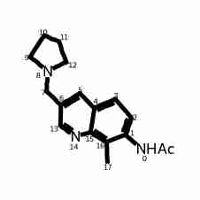 CC(=O)Nc1ccc2cc(CN3CCCC3)cnc2c1C